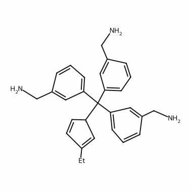 CCC1=C[C](C(c2cccc(CN)c2)(c2cccc(CN)c2)c2cccc(CN)c2)C=C1